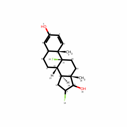 C[C@]12C=CC(O)=CC1CC[C@H]1[C@@H]3CC(F)C(O)[C@@]3(C)CC[C@]12F